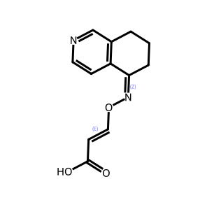 O=C(O)/C=C/O/N=C1/CCCc2cnccc21